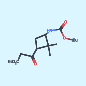 CCOC(=O)CC(=O)C1CC(NC(=O)OC(C)(C)C)C1(C)C